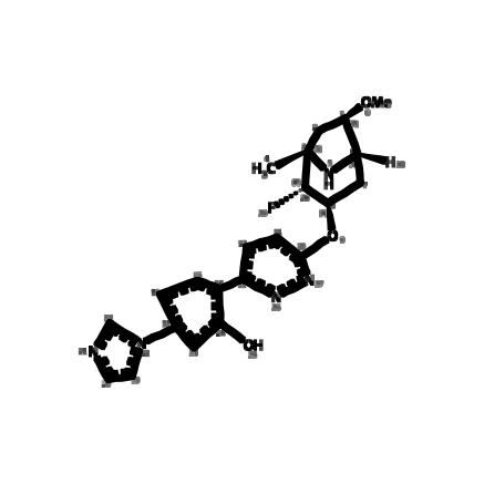 CO[C@@H]1C[C@]2(C)N[C@H]1C[C@@H](Oc1ccc(-c3ccc(-n4ccnc4)cc3O)nn1)[C@@H]2F